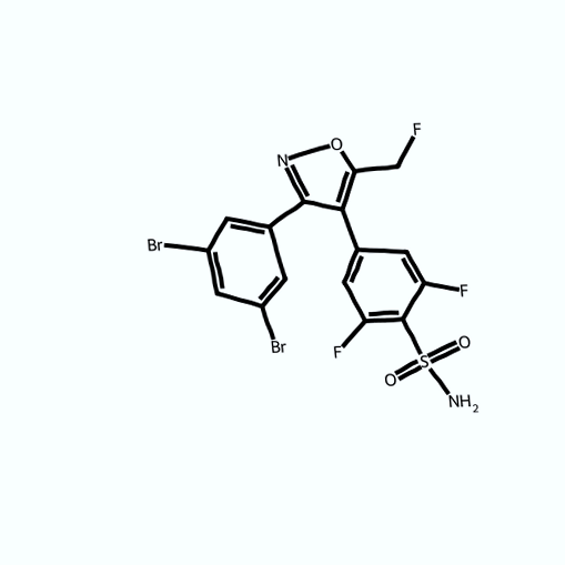 NS(=O)(=O)c1c(F)cc(-c2c(-c3cc(Br)cc(Br)c3)noc2CF)cc1F